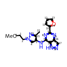 COCCn1cc(Nc2nc(-c3ccco3)nc3cn[nH]c23)c(C)n1